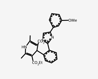 CCOC(=O)C1=C(C)NC(C)=C(C(=O)OCC)C1c1ccccc1-c1nc(-c2cccc(OC)c2)cs1